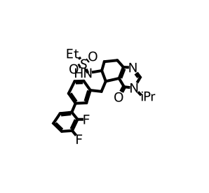 CCS(=O)(=O)NC1CCc2ncn(C(C)C)c(=O)c2C1Cc1cccc(-c2cccc(F)c2F)c1